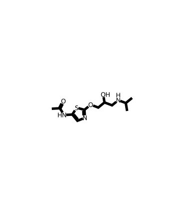 CC(=O)Nc1cnc(OCC(O)CNC(C)C)s1